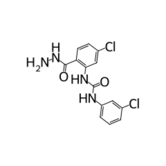 NNC(=O)c1ccc(Cl)cc1NC(=O)Nc1cccc(Cl)c1